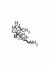 CCC(C)[O-].CCC(C)[O-].[CH3][Sn+2][CH2]CCN